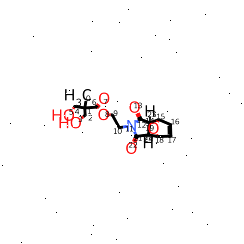 CC(CO)(CO)C(=O)OCCN1C(=O)[C@@H]2C3C=CC(O3)[C@@H]2C1=O